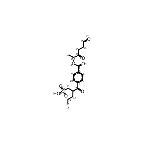 CN(OC(=O)c1ccc(C(=O)C(CCF)CS(=O)(=O)O)cc1)C(=O)CCC=O